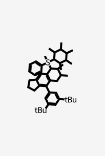 CC1Cc2c(cc3c(c2-c2cc(C(C)(C)C)cc(C(C)(C)C)c2)CCC3)C(S(C)(c2ccccc2)C2C(C)C(C)C(C)C(C)C2C)C1C